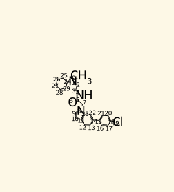 CN(CCNC(=O)Cn1ccc2ccc(-c3ccc(Cl)cc3)cc21)C1CCCCC1